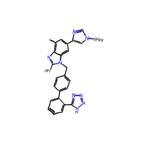 CCCCCCn1cnc(-c2cc(C)c3nc(CCC)n(Cc4ccc(-c5ccccc5-c5nnn[nH]5)cc4)c3c2)c1